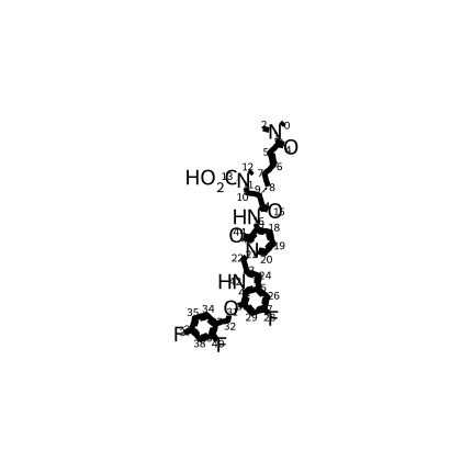 CN(C)C(=O)/C=C/CC[C@@H](CN(C)C(=O)O)C(=O)Nc1cccn(Cc2cc3cc(F)cc(OCc4ccc(F)cc4F)c3[nH]2)c1=O